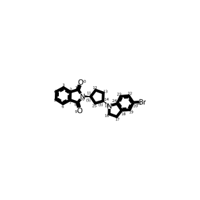 O=C1c2ccccc2C(=O)N1[C@H]1CC[C@H](N2CCc3cc(Br)ccc32)C1